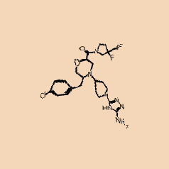 Nc1nnc(N2CCC(N3CC(C(=O)N4CCC(F)(F)C4)OCC3Cc3ccc(Cl)cc3)CC2)[nH]1